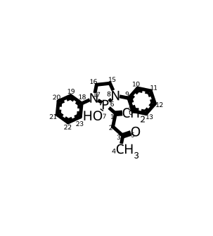 C=C(CC(C)=O)[P]1(O)N(c2ccccc2)CCN1c1ccccc1